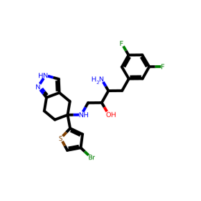 NC(Cc1cc(F)cc(F)c1)C(O)CNC1(c2cc(Br)cs2)CCc2n[nH]cc2C1